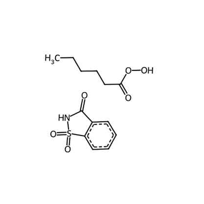 CCCCCC(=O)OO.O=C1NS(=O)(=O)c2ccccc21